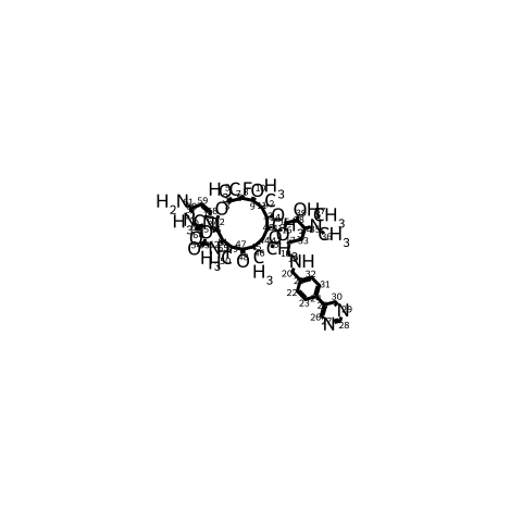 CC[C@H]1OC(=O)[C@@](C)(F)C(=O)[C@H](C)[C@@H](O[C@@H]2O[C@H](CNCc3ccc(-c4cncnc4)cc3)CC(N(C)C)C2O)[C@](C)(OC)C[C@@H](C)C(=O)[C@H](C)[C@H]2NC(=O)O[C@@]21n1ccc(N)nc1=O